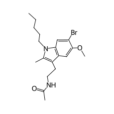 CCCCCn1c(C)c(CCNC(C)=O)c2cc(OC)c(Br)cc21